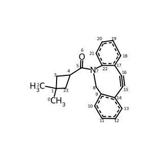 CC1(C)CC(C(=O)N2Cc3ccccc3C#Cc3ccccc32)C1